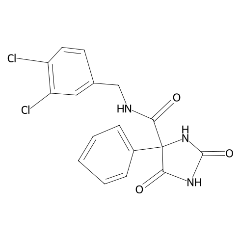 O=C1NC(=O)C(C(=O)NCc2ccc(Cl)c(Cl)c2)(c2ccccc2)N1